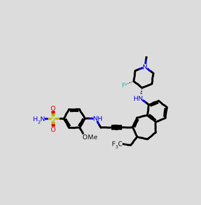 COc1cc(S(N)(=O)=O)ccc1NCC#CC1=Cc2c(cccc2N[C@H]2CCN(C)C[C@H]2F)CCC1CC(F)(F)F